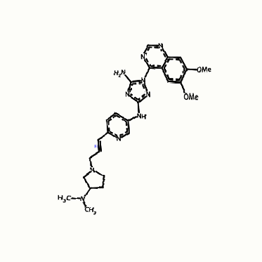 COc1cc2ncnc(-n3nc(Nc4ccc(/C=C/CN5CCC(N(C)C)C5)nc4)nc3N)c2cc1OC